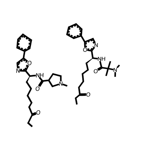 CCC(=O)CCCCC[C@H](NC(=O)C(C)(C)N(C)C)c1ncc(-c2ccccc2)o1.CCC(=O)CCCCC[C@H](NC(=O)C1CCN(C)C1)c1ncc(-c2ccccc2)o1